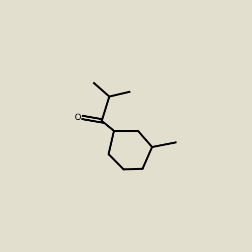 CC1CCCC(C(=O)C(C)C)C1